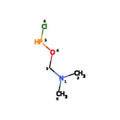 CN(C)COPCl